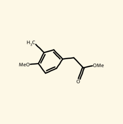 COC(=O)Cc1ccc(OC)c(C)c1